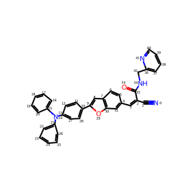 N#C/C(=C/c1ccc2cc(-c3ccc(N(c4ccccc4)c4ccccc4)cc3)oc2c1)C(=O)NCc1ccccn1